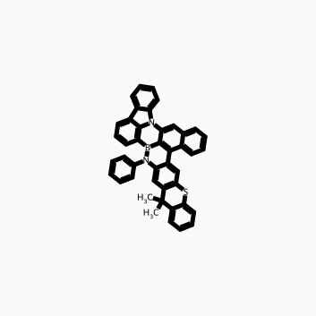 CC1(C)c2ccccc2Sc2cc3c(cc21)N(c1ccccc1)B1c2c(cc4ccccc4c2-3)-n2c3ccccc3c3cccc1c32